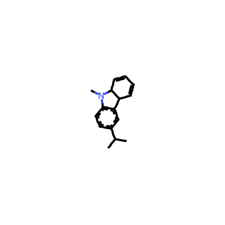 CC(C)c1ccc2c(c1)C1C=CC=CC1N2C